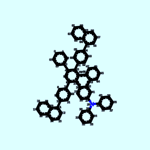 c1ccc(-c2cc(-c3ccc(-c4cccc5ccccc45)cc3)c3c4ccc(N(c5ccccc5)c5ccccc5)cc4c4ccccc4c3c2-c2ccc(-c3cccc4ccccc34)cc2)cc1